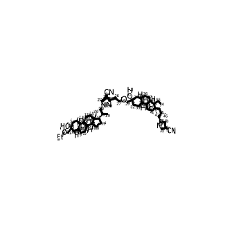 CCOC[C@@]1(O)CC[C@H]2[C@H](CC[C@@H]3[C@@H]2CC[C@]2(C)[C@@H](C(C)Cn4cc(C#N)c(CCOC[C@@]5(O)CC[C@H]6[C@H](CC[C@@H]7[C@@H]6CC[C@]6(C)[C@@H]([C@H](C)Cn8cc(C#N)cn8)CC[C@@H]76)C5)n4)CC[C@@H]32)C1